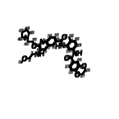 COCCNc1cc2cc(C(=O)Nc3cc(NC(=O)c4ccc5c(c4)OCCO5)ccc3C)ccc2nc1OCCN1CCCC1